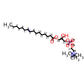 CCCCCC/C=C/CCCCCCCC(=O)OC[C@@H](O)COP(=O)([O-])OCC[N+](C)(C)C